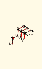 CCCCCCCCCCC[N+]([S-])(CCCCCCCCCCC)C(=S)[S-].CCCCCCCCCCC[N+]([S-])(CCCCCCCCCCC)C(=S)[S-].CCCCCCCCCCC[N+]([S-])(CCCCCCCCCCC)C(=S)[S-].CCCCCCCCCCC[N+]([S-])(CCCCCCCCCCC)C(=S)[S-].[Mo+4]